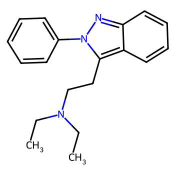 CCN(CC)CCc1c2ccccc2nn1-c1ccccc1